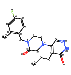 CCCc1c(N2CCN(Cc3ccc(F)cc3C)C(=O)C2)cn[nH]c1=O